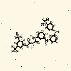 CN(c1ccc(S(C)(=O)=O)cc1)c1nccc(N(C)c2cccc3c2nc(NC(=O)Cc2cc(C(F)(F)F)cc(C(F)(F)F)c2)n3C)n1